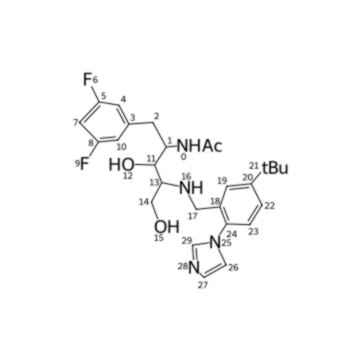 CC(=O)NC(Cc1cc(F)cc(F)c1)C(O)C(CO)NCc1cc(C(C)(C)C)ccc1-n1ccnc1